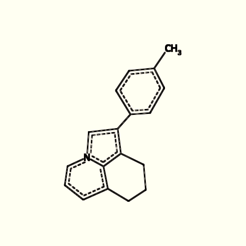 Cc1ccc(-c2cn3cccc4c3c2CCC4)cc1